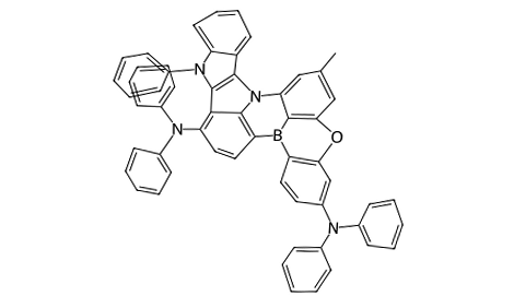 Cc1cc2c3c(c1)-n1c4c(ccc(N(c5ccccc5)c5ccccc5)c4c4c1c1ccccc1n4-c1ccccc1)B3c1ccc(N(c3ccccc3)c3ccccc3)cc1O2